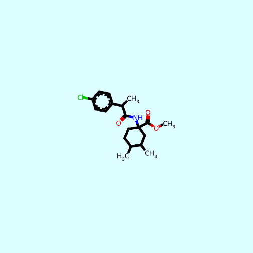 COC(=O)C1(NC(=O)C(C)c2ccc(Cl)cc2)CCC(C)C(C)C1